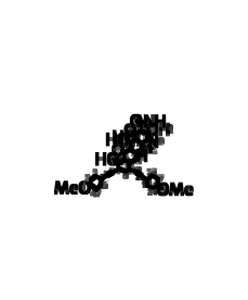 COc1ccc(C#Cc2cc(C#CC3CCC(OC)CC3)c3c(c2O)C(=O)C2=C(O)[C@]4(O)C(=O)C(C(N)=O)=C(O)[C@@H](N(C)C)[C@@H]4C[C@@H]2C3)cc1